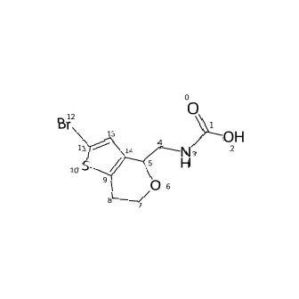 O=C(O)NCC1OCCc2sc(Br)cc21